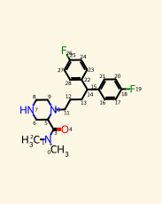 CN(C)C(=O)C1CNCCN1CCCC(c1ccc(F)cc1)c1ccc(F)cc1